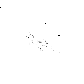 COCCCCN1N=NC2=NC(Nc3ccc(C)c(Cl)c3)=NC(=O)C21